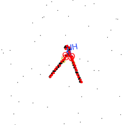 CCCCCCCC/C=C/CCCCCCCCSCCOC(=O)CCN(CCC(=O)OCCSCCCCCCCC/C=C/CCCCCCCC)CCc1c[nH]c2ccccc12